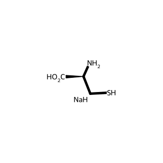 N[C@@H](CS)C(=O)O.[NaH]